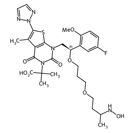 COc1ccc(F)cc1[C@H](Cn1c(=O)n(C(C)(C)C(=O)O)c(=O)c2c(C)c(-n3nccn3)sc21)OCCCOCCC(C)NO